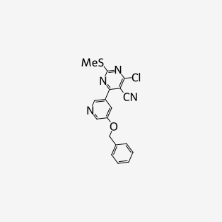 CSc1nc(Cl)c(C#N)c(-c2cncc(OCc3ccccc3)c2)n1